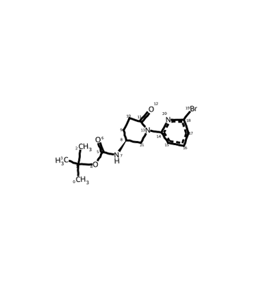 CC(C)(C)OC(=O)N[C@H]1CCC(=O)N(c2cccc(Br)n2)C1